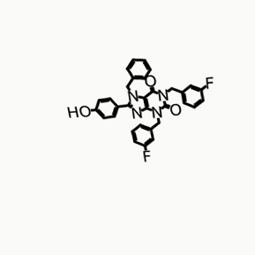 O=c1c2c(nc(-c3ccc(O)cc3)n2Cc2ccccc2)n(Cc2cccc(F)c2)c(=O)n1Cc1cccc(F)c1